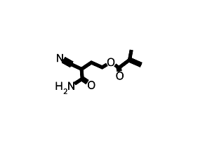 C=C(C)C(=O)OCCC(C#N)C(N)=O